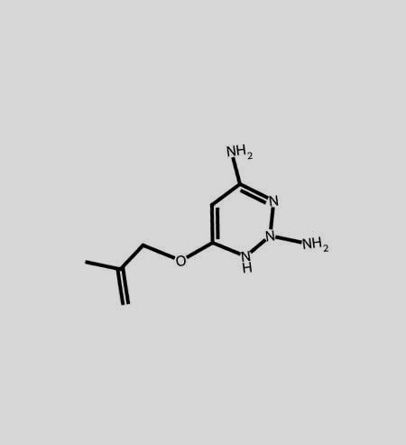 C=C(C)COC1=CC(N)=NN(N)N1